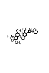 Cc1cc(N2CCCc3cc(-c4cnn(C5CCCCO5)c4)c(C(F)F)cc32)c2cc(C)c(=O)n(C)c2c1